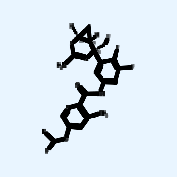 Cc1cc(OC(F)F)cnc1C(=O)Nc1cc(F)c(F)c([C@@]2(CF)N=C(N)S[C@H]3C[C@H]32)c1